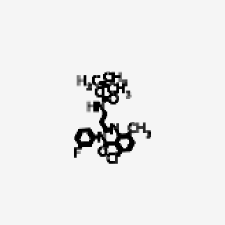 Cc1ccc(Cl)c2c(=O)n(-c3cccc(F)c3)c(CCNC(=O)OC(C)(C)C)nc12